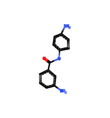 Nc1ccc([N]C(=O)c2cccc(N)c2)cc1